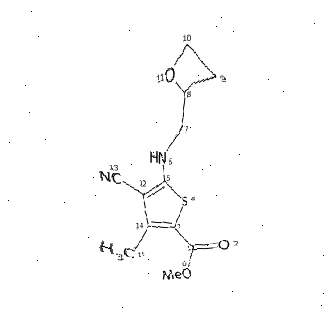 COC(=O)c1sc(NCC2CCO2)c(C#N)c1C